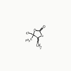 C=C1OC(=O)OC1(C)Cl